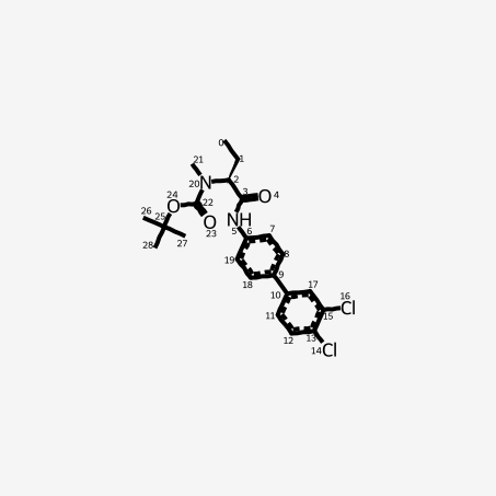 CC[C@@H](C(=O)Nc1ccc(-c2ccc(Cl)c(Cl)c2)cc1)N(C)C(=O)OC(C)(C)C